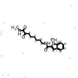 CNC(=O)C(=O)CCCCCCNC(=O)c1cc2ccccc2n1C